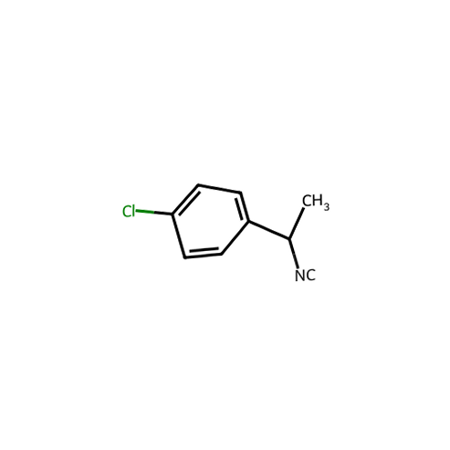 [C-]#[N+]C(C)c1ccc(Cl)cc1